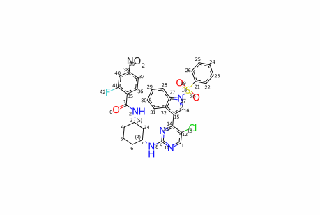 O=C(N[C@H]1CCC[C@@H](Nc2ncc(Cl)c(-c3cn(S(=O)(=O)c4ccccc4)c4ccccc34)n2)C1)c1ccc([N+](=O)[O-])cc1F